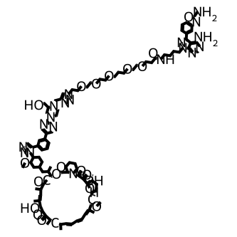 COC1C[C@@H]2CC[C@@H](C)[C@@](O)(O2)C(=O)C(=O)N2CCCCC2C(=O)OC(C(C)CC2CCC(n3nncc3-c3cccc(-c4cnc(N5CCN(Cc6cn(CCOCCOCCOCCCOCCOCCC(=O)NCCCCn7nc(-c8ccc9oc(N)nc9c8)c8c(N)ncnc87)nn6)C(CO)C5)nc4)c3)[C@H](OC)C2)CC(=O)C(C)/C=C(\C)C(O)[C@@H](OC)C(=O)C(C)CC(C)/C=C/C=C/C=C/1C